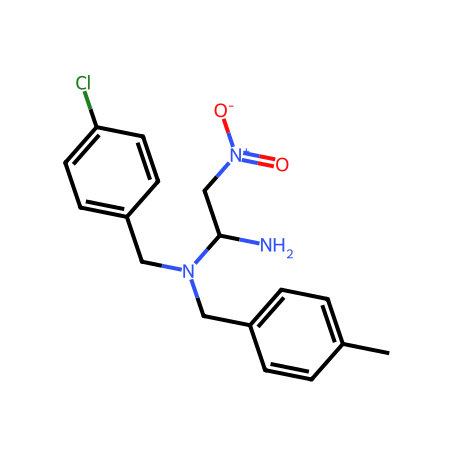 Cc1ccc(CN(Cc2ccc(Cl)cc2)C(N)C[N+](=O)[O-])cc1